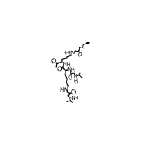 C#CCCCC(=O)NCCCCC(NC(=O)[C@H](CCCCNC(=O)CNC(C)C)NC(=O)CNC(C)C)C(C)=O